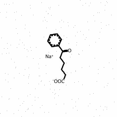 O=C([O-])CCCCC(=O)c1ccccc1.[Na+]